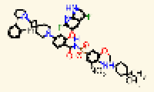 CC(C)c1ccccc1[C@H]1CCCN1C1CC2(CCN(c3ccc(C(=O)NS(=O)(=O)c4cc5c(c([N+](=O)[O-])c4)N[C@@H](C4CCC(C)(C)CC4)CO5)c(Oc4cc5c(F)c[nH]c5nc4F)c3)CC2)C1